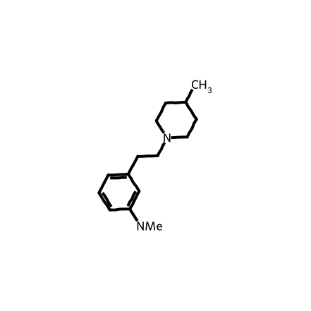 CNc1cccc(CCN2CCC(C)CC2)c1